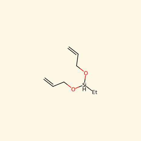 C=CCO[SiH](CC)OCC=C